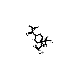 CN(C)C(=O)C1CCC(NC(=O)O)(C(C)(C)C)CC1